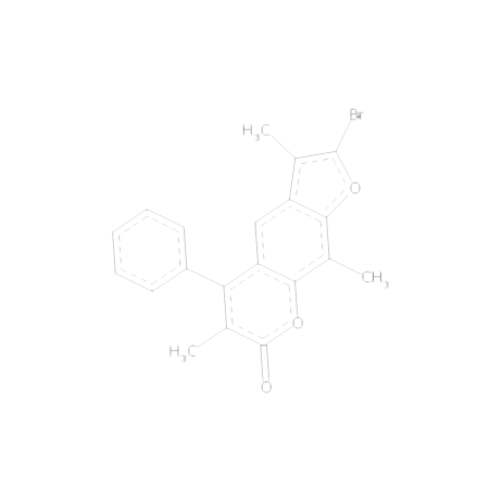 Cc1c(-c2ccccc2)c2cc3c(C)c(Br)oc3c(C)c2oc1=O